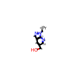 CC(C)Cn1ncc2cc(CO)cnc21